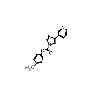 Cc1ccc(OC(=O)n2cnc(-c3cccnc3)c2)cc1